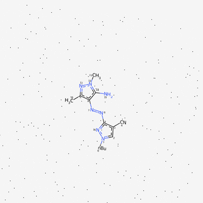 CCCCn1cc(C#N)c(N=Nc2c(C)nn(C)c2N)n1